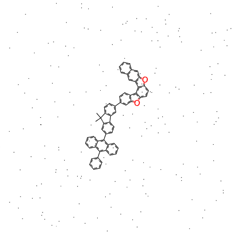 CC1(C)c2ccc(-c3ccc4c(c3)oc3ccc5oc6cc7ccccc7cc6c5c34)cc2-c2ccc(-c3c4ccccc4c(-c4ccccc4)c4ccccc34)cc21